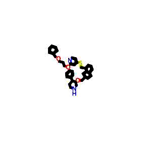 c1ccc(COCCCOc2ccc(C3CCNCC3OCc3ccc4cccc(CSc5ccncc5)c4c3)cc2)cc1